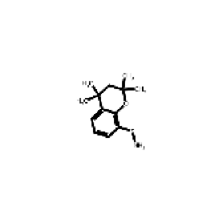 CC1(C)CC(C)(C)c2cccc(SN)c2O1